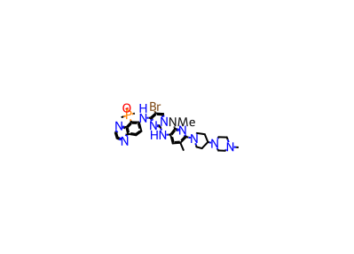 CNc1nc(N2CCC(N3CCN(C)CC3)CC2)c(C)cc1Nc1ncc(Br)c(Nc2ccc3nccnc3c2P(C)(C)=O)n1